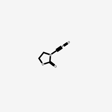 O=P#CN1CCOC1=O